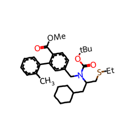 CCSCC(CC1CCCCC1)N(Cc1ccc(C(=O)OC)c(-c2ccccc2C)c1)C(=O)OC(C)(C)C